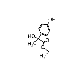 CCOC(=O)C(C)(O)c1ccc(O)cc1